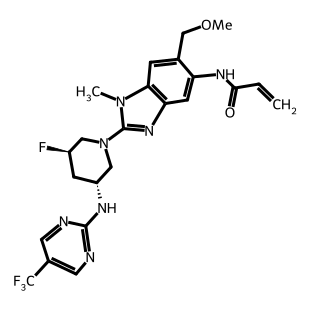 C=CC(=O)Nc1cc2nc(N3C[C@H](F)C[C@@H](Nc4ncc(C(F)(F)F)cn4)C3)n(C)c2cc1COC